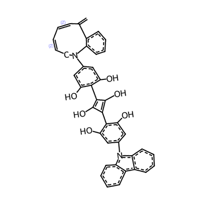 C=C1/C=C\C=C/CN(c2cc(O)c(C3=C(O)C(c4c(O)cc(-n5c6ccccc6c6ccccc65)cc4O)=C3O)c(O)c2)c2ccccc21